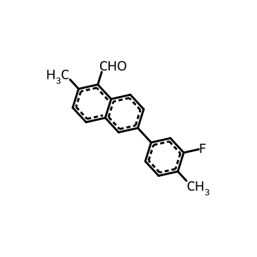 Cc1ccc(-c2ccc3c(C=O)c(C)ccc3c2)cc1F